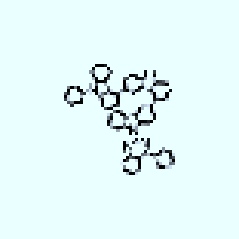 c1ccc(-c2nc(-n3c4ccccc4c4cc(-c5cccc6oc7ccc(-c8cccc9c8c8ccccc8n9-c8ccccc8)cc7c56)ccc43)nc3ccccc23)cc1